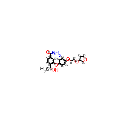 C[C@H](O)c1ccc(C(N)=O)cc1Oc1ccc(OCCOC2CCOC2)cc1